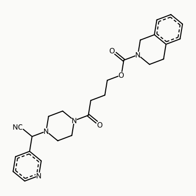 N#CC(c1cccnc1)N1CCN(C(=O)CCCOC(=O)N2CCc3ccccc3C2)CC1